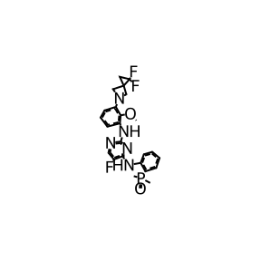 COc1c(Nc2ncc(F)c(Nc3ccccc3P(C)(C)=O)n2)cccc1N1CC2(C1)CC2(F)F